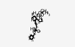 CC(C)(C)OC(=O)N1CCCC1c1cc(F)cnc1C#CCNC(=O)OCc1ccccc1